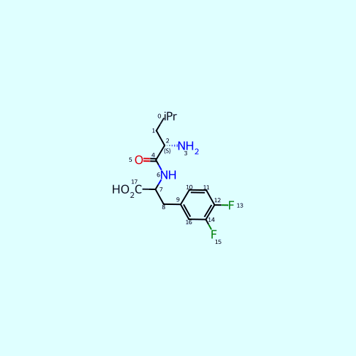 CC(C)C[C@H](N)C(=O)NC(Cc1ccc(F)c(F)c1)C(=O)O